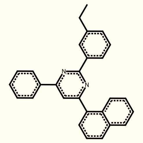 CCc1cccc(-c2nc(-c3ccccc3)cc(-c3cccc4ccccc34)n2)c1